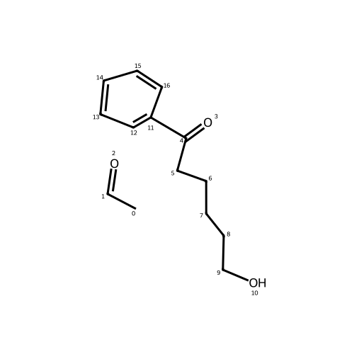 CC=O.O=C(CCCCCO)c1ccccc1